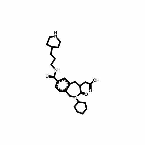 O=C(O)CC1Cc2cc(C(=O)NCCCC3CCNCC3)ccc2CN(C2CCCCC2)C1=O